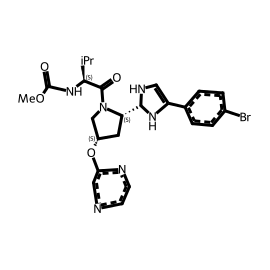 COC(=O)N[C@H](C(=O)N1C[C@@H](Oc2cnccn2)C[C@H]1C1NC=C(c2ccc(Br)cc2)N1)C(C)C